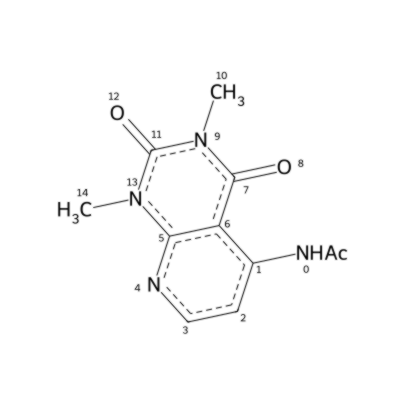 CC(=O)Nc1ccnc2c1c(=O)n(C)c(=O)n2C